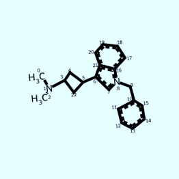 CN(C)C1CC(c2cn(Cc3ccccc3)c3cc[c]cc23)C1